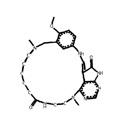 COc1ccc2cc1CN(C)CCCCCC(=O)NCCN(C)c1ncnc3c1/C(=C/N2)C(=O)N3